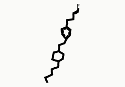 CCCCCC1CCC(CCc2ccc(CCC=CF)cc2)CC1